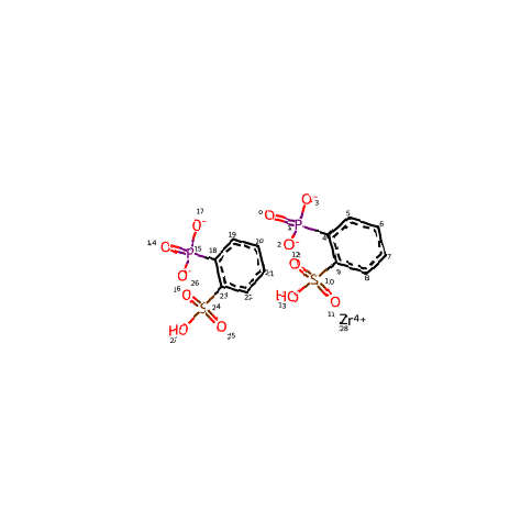 O=P([O-])([O-])c1ccccc1S(=O)(=O)O.O=P([O-])([O-])c1ccccc1S(=O)(=O)O.[Zr+4]